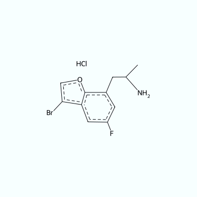 CC(N)Cc1cc(F)cc2c(Br)coc12.Cl